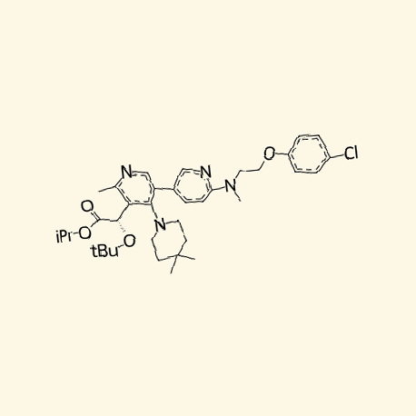 Cc1ncc(-c2ccc(N(C)CCOc3ccc(Cl)cc3)nc2)c(N2CCC(C)(C)CC2)c1[C@H](OC(C)(C)C)C(=O)OC(C)C